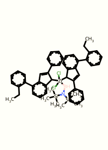 CCc1ccccc1-c1cccc2c1C=C(c1ccccc1)[CH]2[Zr]([Cl])([Cl])([BH]N([Si](C)(C)C)[Si](C)(C)C)[CH]1C(c2ccccc2)=Cc2c(-c3ccccc3CC)cccc21